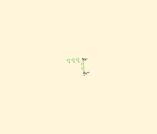 [Cl-].[Cl-].[Cl-].[Cl-].[Cl-].[Na+].[Ru+4]